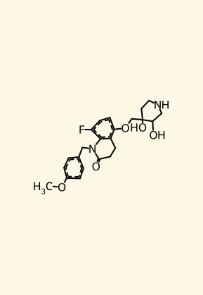 COc1ccc(CN2C(=O)CCc3c(OCC4(O)CCNCC4O)ccc(F)c32)cc1